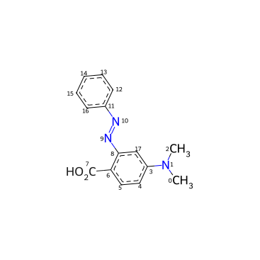 CN(C)c1ccc(C(=O)O)c(N=Nc2ccccc2)c1